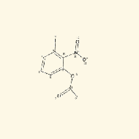 CC(=O)Oc1cccc(I)c1[N+](=O)[O-]